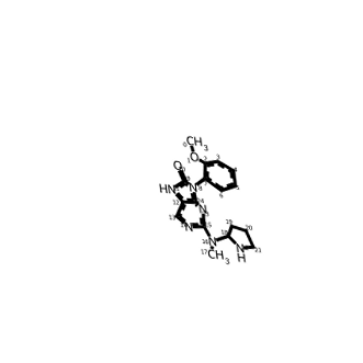 COc1ccccc1-n1c(=O)[nH]c2cnc(N(C)C3CCCN3)nc21